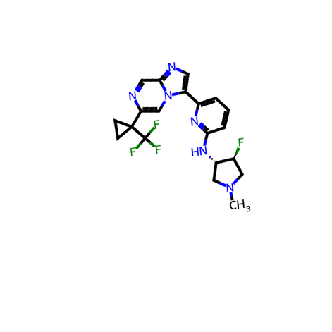 CN1C[C@H](Nc2cccc(-c3cnc4cnc(C5(C(F)(F)F)CC5)cn34)n2)[C@@H](F)C1